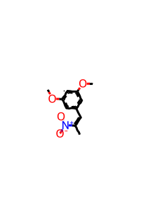 COc1[c]c(OC)cc(C=C(C)[N+](=O)[O-])c1